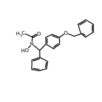 CC(=O)N(O)C(c1ccccc1)c1ccc(OCc2ccccc2)cc1